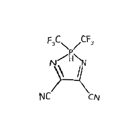 N#CC1=N[PH](C(F)(F)F)(C(F)(F)F)N=C1C#N